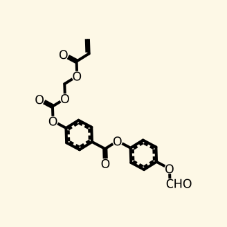 C=CC(=O)OCOC(=O)Oc1ccc(C(=O)Oc2ccc(OC=O)cc2)cc1